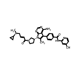 Cc1c(-c2ccc(C(=O)Nc3cc(C#N)ccn3)cc2)c2c(N)ncnc2n1[C@@H]1CCN(C(=O)/C=C/CN(C)C2CC2)C1